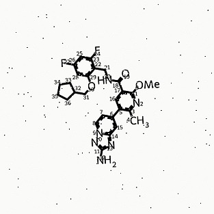 COc1nc(C)c(-c2ccn3nc(N)nc3c2)cc1C(=O)NCc1c(F)cc(F)cc1OCC1CCCC1